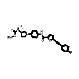 CN(C(=O)OC(C)(C)C)C1CCN(c2ccc(NC(=O)c3ccc(C#Cc4ccc(F)cc4)s3)cc2)C1